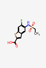 CCS(=O)(=O)Nc1cc2cc(C(=O)O)sc2cc1F